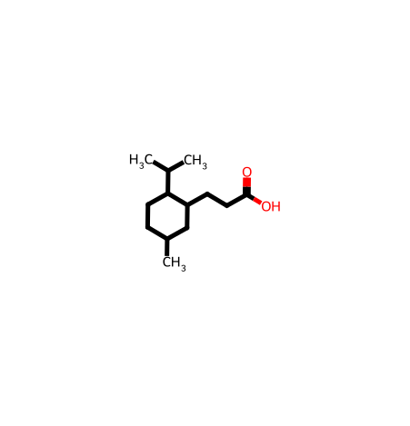 CC1CCC(C(C)C)C(CCC(=O)O)C1